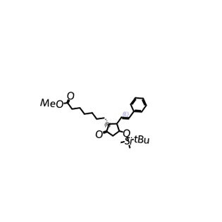 COC(=O)CCCCCC[C@H]1C(=O)CC(O[Si](C)(C)C(C)(C)C)C1/C=C/c1ccccc1